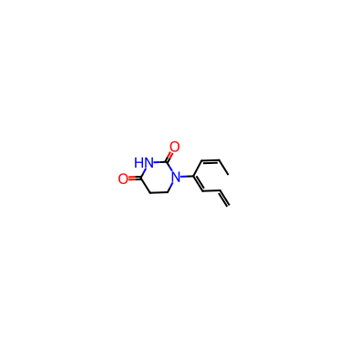 C=C/C=C(\C=C/C)N1CCC(=O)NC1=O